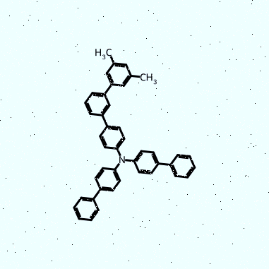 Cc1cc(C)cc(-c2cccc(-c3ccc(N(c4ccc(-c5ccccc5)cc4)c4ccc(-c5ccccc5)cc4)cc3)c2)c1